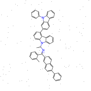 Cc1ccccc1/C(=N\C(C)n1c2ccccc2c2c(-c3ccc4c5ccccc5n(-c5ccccc5)c4c3)cccc21)c1ccc2cc(-c3ccccc3)ccc2c1